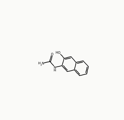 NC(=O)Nc1cc2ccccc2cc1O